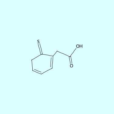 O=C(O)CC1=CC=CCC1=S